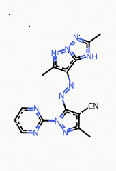 Cc1nn2nc(C)c(/N=N/c3c(C#N)c(C)nn3-c3ncccn3)c2[nH]1